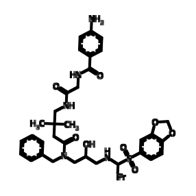 CC(C)C(NCC(O)CN(Cc1ccccc1)C(=O)CC(C)(C)CNC(=O)CNC(=O)c1ccc(N)cc1)S(=O)(=O)c1ccc2c(c1)OCO2